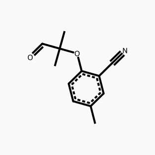 Cc1ccc(OC(C)(C)C=O)c(C#N)c1